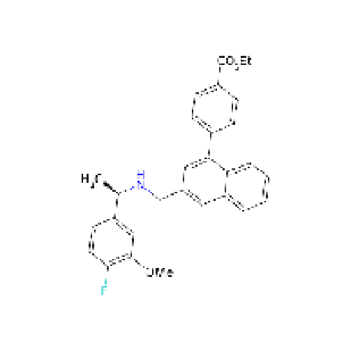 CCOC(=O)c1ccc(-c2cc(CN[C@H](C)c3ccc(F)c(OC)c3)cc3ccccc23)cc1